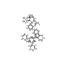 C=Cc1c(-c2ccc3c4c(n(C5=NC(C6=CC=CCC6)NC(C6=CCCC=C6)=N5)c3c2)C=CCC4)cccc1C1C=CCC(C)(C)C1C